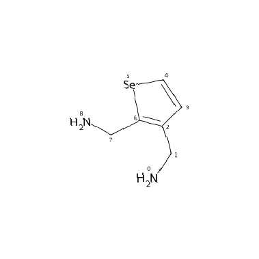 NCc1cc[se]c1CN